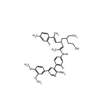 CCC(CCO)CN(/C=C(\C)c1ccc(C)cc1F)/C=C(\C)N(F)c1ccc(-c2cc(-c3ccc(OC)c(OC)c3)cnc2N)c(F)c1